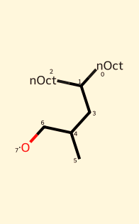 CCCCCCCCC(CCCCCCCC)CC(C)C[O]